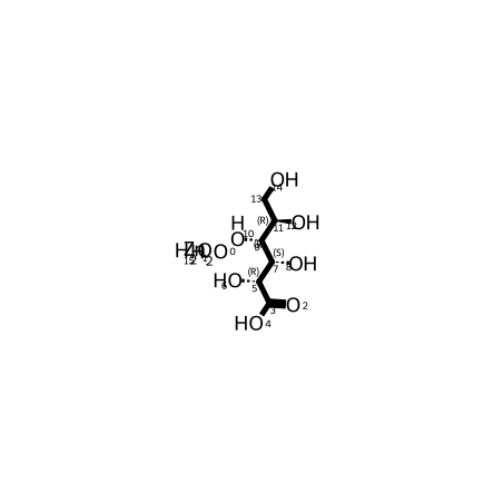 O.O.O=C(O)[C@H](O)[C@@H](O)[C@H](O)[C@H](O)CO.[Zn]